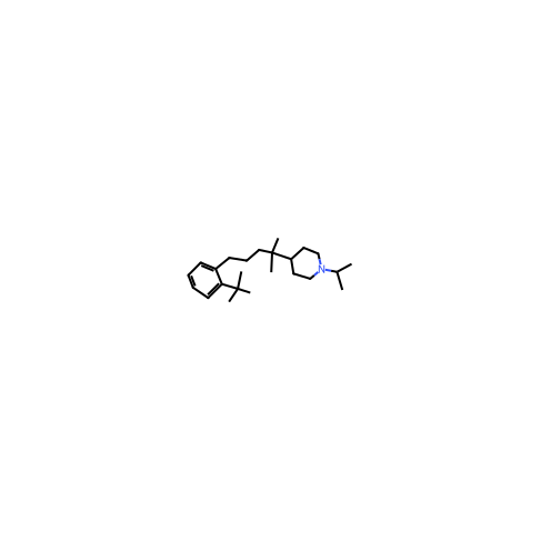 CC(C)N1CCC(C(C)(C)CCCc2ccccc2C(C)(C)C)CC1